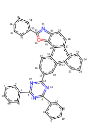 c1ccc(-c2nc(-c3ccccc3)nc(-c3ccc4c(c3)c3ccccc3c3ccc5nc(-c6ccccc6)oc5c34)n2)cc1